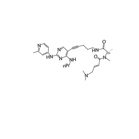 CCCNc1nc(Nc2ccnc(C)c2)ncc1C#CCCCNC(=O)[C@H](C)N(C)C(=O)C=CCN(C)C